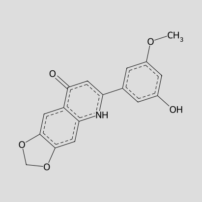 COc1cc(O)cc(-c2cc(=O)c3cc4c(cc3[nH]2)OCO4)c1